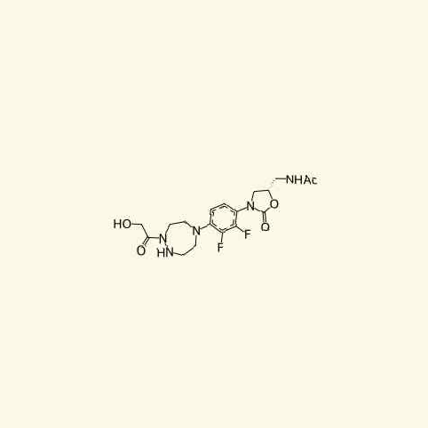 CC(=O)NC[C@H]1CN(c2ccc(N3CCNN(C(=O)CO)CC3)c(F)c2F)C(=O)O1